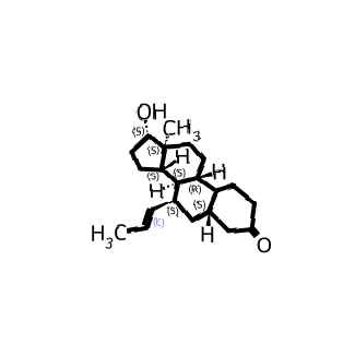 C/C=C/[C@@H]1C[C@H]2CC(=O)CCC2[C@H]2CC[C@]3(C)[C@@H](O)CC[C@H]3[C@H]12